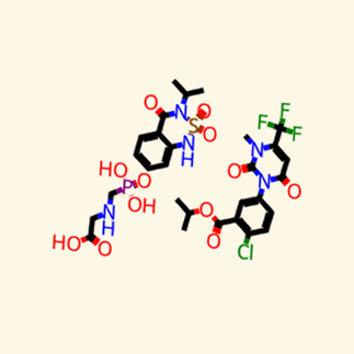 CC(C)N1C(=O)c2ccccc2NS1(=O)=O.CC(C)OC(=O)c1cc(-n2c(=O)cc(C(F)(F)F)n(C)c2=O)ccc1Cl.O=C(O)CNCP(=O)(O)O